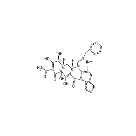 CNc1cc2ncoc2c2c1[C@H](CSCc1ccccc1)[C@H]1C[C@H]3[C@H](NC)C(O)=C(C(N)=O)C(=O)[C@@]3(O)C(O)=C1C2=O